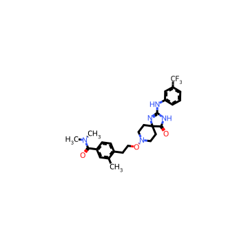 Cc1cc(C(=O)N(C)C)ccc1CCON1CCC2(CC1)N=C(Nc1cccc(C(F)(F)F)c1)NC2=O